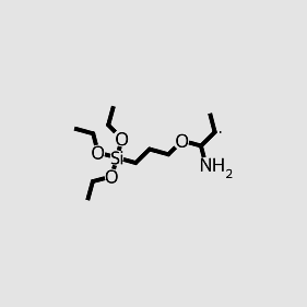 C[CH]C(N)OCCC[Si](OCC)(OCC)OCC